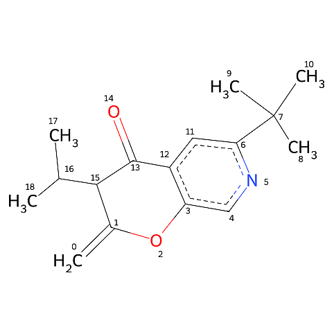 C=C1Oc2cnc(C(C)(C)C)cc2C(=O)C1C(C)C